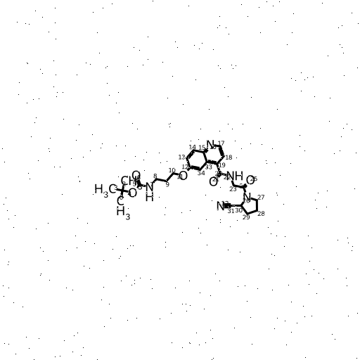 CC(C)(C)OC(=O)NCCCOc1ccc2nccc(C(=O)NCC(=O)N3CCCC3C#N)c2c1